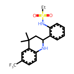 CCS(=O)(=O)Nc1ccccc1C1CC(C)(C)c2cc(C(F)(F)F)ccc2N1